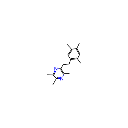 Cc1cc(C)c(CCc2nc(C)c(C)nc2C)cc1C